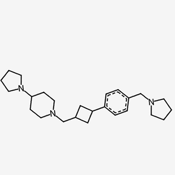 c1cc(C2CC(CN3CCC(N4CCCC4)CC3)C2)ccc1CN1CCCC1